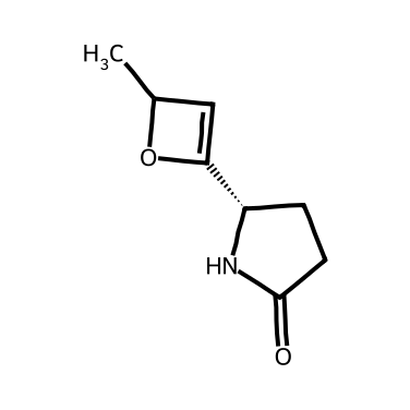 CC1C=C([C@@H]2CCC(=O)N2)O1